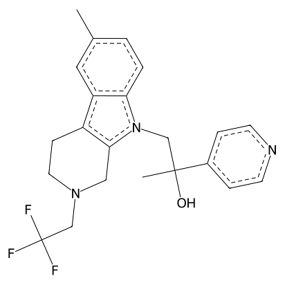 Cc1ccc2c(c1)c1c(n2CC(C)(O)c2ccncc2)CN(CC(F)(F)F)CC1